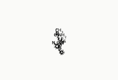 CCOC(=O)C(N)CCSc1c(F)c(F)nc(Oc2cc(C#N)ccc2OCc2ccccc2)c1F